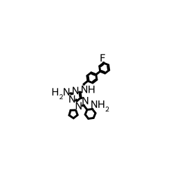 Nc1nc(NCc2ccc(-c3cccc(F)c3)cc2)c2nc(C3CCCCC3N)n(C3CCCC3)c2n1